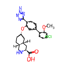 COc1ccccc1-c1ccc(-c2nn[nH]n2)c(O[C@H]2CC[C@H]3CN[C@H](C(=O)O)C[C@H]3C2)c1.Cl